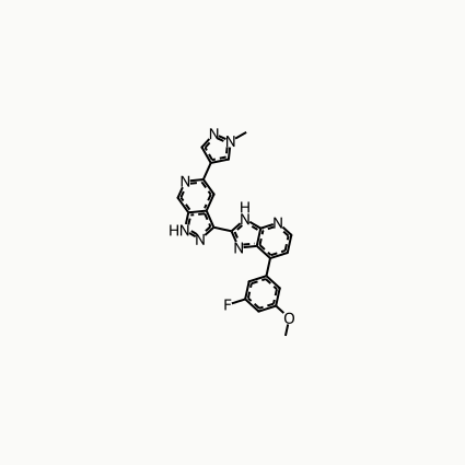 COc1cc(F)cc(-c2ccnc3[nH]c(-c4n[nH]c5cnc(-c6cnn(C)c6)cc45)nc23)c1